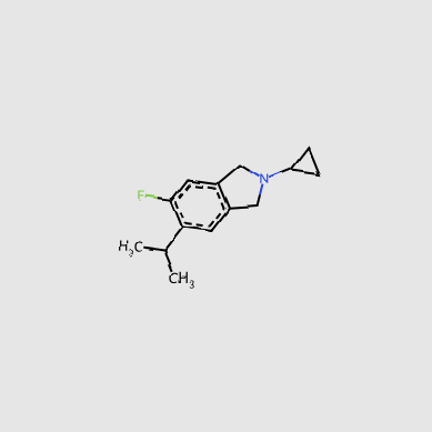 CC(C)c1cc2c(cc1F)CN(C1CC1)C2